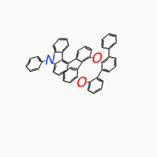 c1ccc(-c2cccc3c2Oc2cccc(-c4cccc5c4c4ccccc4n5-c4ccccc4)c2-c2ccccc2Oc2ccccc2-3)cc1